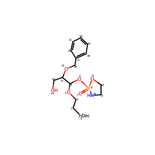 CCCCCCCCCCCCOC(OP1(=O)NCCO1)C(CO)OCc1ccccc1